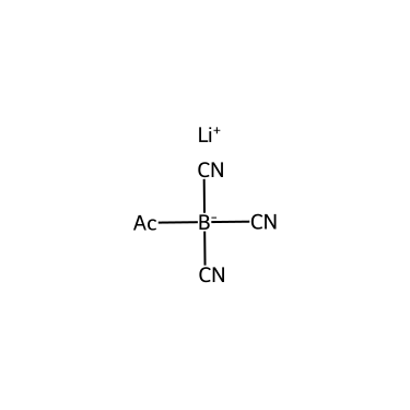 CC(=O)[B-](C#N)(C#N)C#N.[Li+]